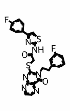 O=C(CSc1nc2nccnc2c(=O)n1CCc1cccc(F)c1)Nc1nc(-c2ccc(F)cc2)cs1